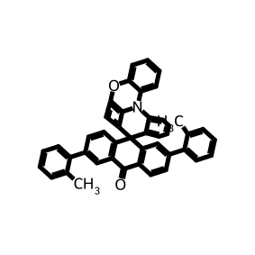 Cc1ccccc1-c1ccc2c(c1)C(=O)c1ccc(-c3ccccc3C)cc1C21c2ccccc2N2c3ccccc3Oc3cccc1c32